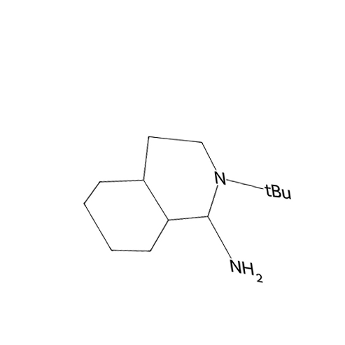 CC(C)(C)N1CCC2CCCCC2C1N